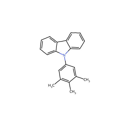 Cc1cc(-n2c3ccccc3c3ccccc32)cc(C)c1C